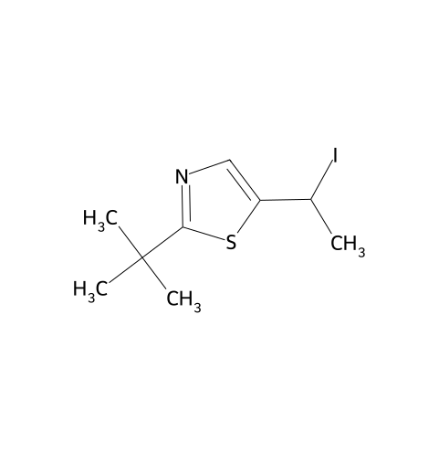 CC(I)c1cnc(C(C)(C)C)s1